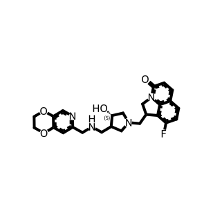 O=c1ccc2ccc(F)c3c2n1CC3CN1CC(CNCc2cc3c(cn2)OCCO3)[C@H](O)C1